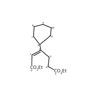 CCOC(=O)C=C(CCC(=O)OCC)C1CCCCC1